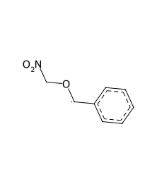 O=[N+]([O-])CO[CH]c1ccccc1